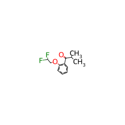 CC(C)C(=O)c1ccccc1OCC(F)F